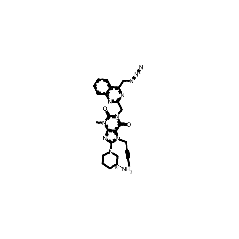 CC#CCn1c(N2CCC[C@@H](N)C2)nc2c1c(=O)n(Cc1nc(CN=[N+]=[N-])c3ccccc3n1)c(=O)n2C